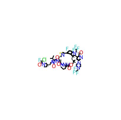 CO[C@@H](C)c1ncc(N2CCN(CC(F)(F)F)CC2)cc1-c1c2c3cc(c(F)cc3n1CC(F)(F)F)-c1csc(n1)C[C@H](NC(=O)[C@H](C(C)C)N(C=O)CC[C@H]1CCN(C(=O)[C@H](F)Cl)C1)C(=O)N1CCC[C@H](N1)C(=O)OCC(C)(C)C2